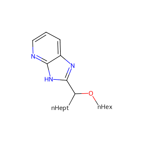 CCCCCCCC(OCCCCCC)c1nc2cccnc2[nH]1